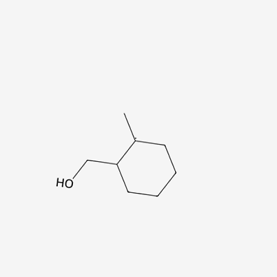 C[C]1CCCCC1CO